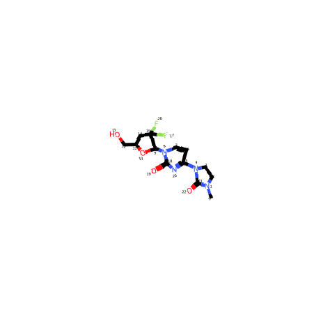 CN1CCN(c2ccn(C3OC(CO)CC3(F)F)c(=O)n2)C1=O